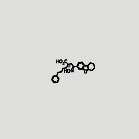 O=C(O)[C@H](CCCCc1ccccc1)CC(=NO)c1ccc2c3c(oc2c1)CCCC3